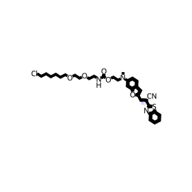 CN(CCOC(=O)NCCOCCOCCCCCCCl)c1ccc2cc(/C=C(\C#N)c3nc4ccccc4s3)oc2c1